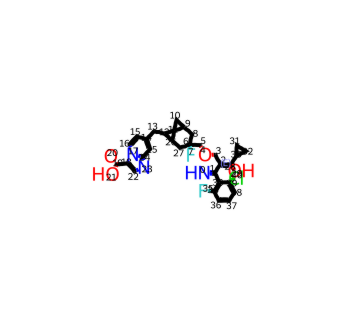 N=C(/C(COCC1(F)CC2CC23C(Cc2ccn4c(C(=O)O)cnc4c2)C3C1)=C(\O)C1CC1)c1c(F)cccc1Cl